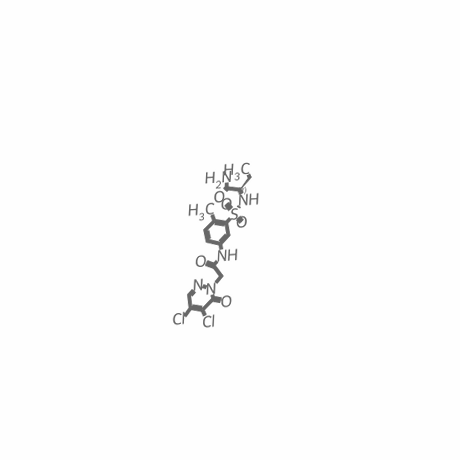 CC[C@@H](NS(=O)(=O)c1cc(NC(=O)Cn2ncc(Cl)c(Cl)c2=O)ccc1C)C(N)=O